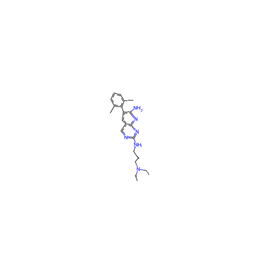 CCN(CC)CCCNc1ncc2cc(-c3c(C)cccc3C)c(N)nc2n1